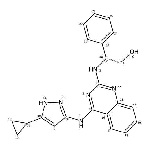 OC[C@H](Nc1nc(Nc2cc(C3CC3)[nH]n2)c2ccccc2n1)c1ccccc1